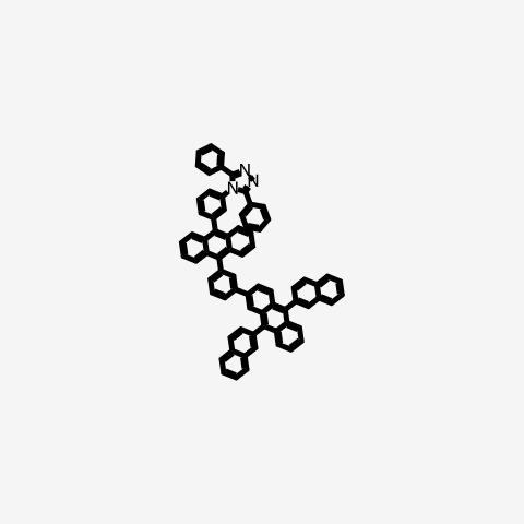 c1ccc(-c2nnc(-c3ccccc3)n2-c2cccc(-c3c4ccccc4c(-c4cccc(-c5ccc6c(-c7ccc8ccccc8c7)c7ccccc7c(-c7ccc8ccccc8c7)c6c5)c4)c4ccccc34)c2)cc1